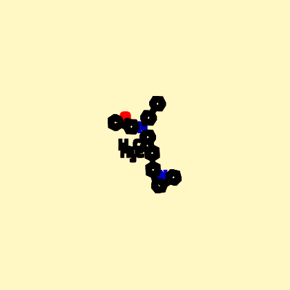 CC1(C)c2cc(-c3ccc4c5cccc6c7ccccc7n(c4c3)c65)ccc2-c2ccc(N(c3ccc(-c4ccccc4)cc3)c3ccc4c(c3)oc3ccccc34)cc21